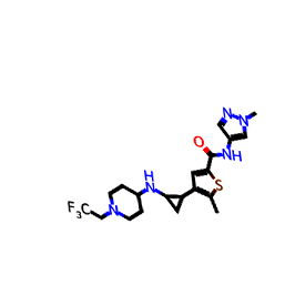 Cc1sc(C(=O)Nc2cnn(C)c2)cc1C1CC1NC1CCN(CC(F)(F)F)CC1